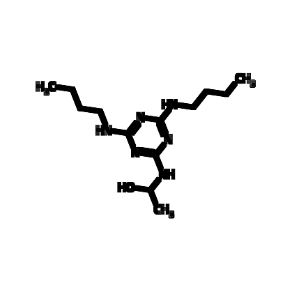 CCCCNc1nc(NCCCC)nc(NC(C)O)n1